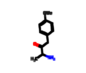 COc1ccc(CC(=O)C(C)N)cc1